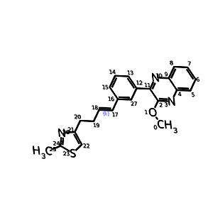 COc1nc2ccccc2nc1-c1cccc(/C=C/CCc2csc(C)n2)c1